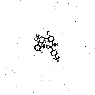 C[C@@]1(c2cccc(F)c2)C(=N)N[C@](C)(c2cc(NC(=O)c3ccc(C(F)(F)F)cn3)ccc2F)CS1(=O)=O